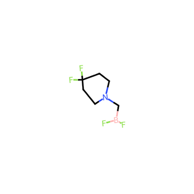 FB(F)CN1CCC(F)(F)CC1